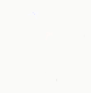 Cc1cccc(C(O)(Cc2c[nH]c3ccccc23)c2cccc(C)c2)c1